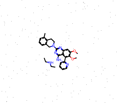 CCNCC.COc1cc2nc(N3CCc4c(C)cccc4C3)nc(N)c2c(-c2ccccn2)c1OC